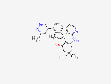 CC[C@]1(c2cccc(-c3cnnc(C)c3)c2)C2=C(CC(C)(C)CC2=O)Nc2ncccc21